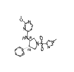 COc1nccc(N[C@H]2CN(S(=O)(=O)c3cn(C)cn3)C[C@@H]2c2ccccc2)n1